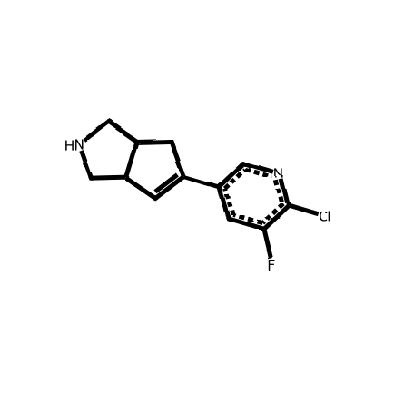 Fc1cc(C2=CC3CNCC3C2)cnc1Cl